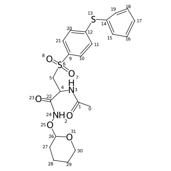 CC(=O)NC(CS(=O)(=O)c1ccc(Sc2ccccc2)cc1)C(=O)NOC1CCCCO1